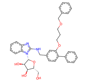 OC[C@H]1O[C@@H](n2c(NCc3ccc(-c4ccccc4)c(OCCCOCc4ccccc4)c3)nc3ccccc32)[C@H](O)[C@@H]1O